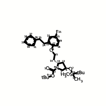 CC(C)(C)OC(=O)N1C[C@H](O[Si](C)(C)C(C)(C)C)C[C@H]1CCOc1ccc(F)cc1CCc1ccccc1